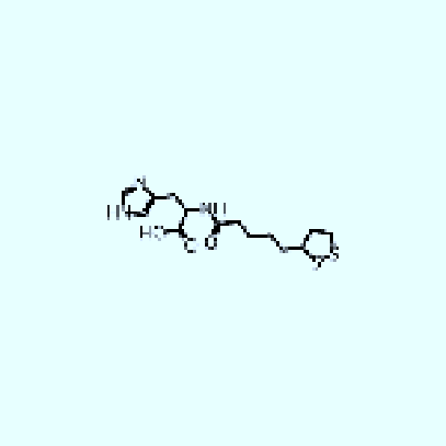 O=C(CCCCC1CCSS1)NC(Cc1c[nH]cn1)C(=O)O